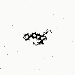 CCOC(=O)c1cc2ccc(C3CCOCC3)cc2nc1C1(C#N)CC1C